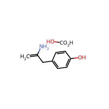 C=C(N)Cc1ccc(O)cc1.O=C(O)O